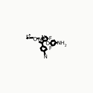 C[Si](C)(C)CCOCn1cc(-c2ccc(C#N)cc2)c2c(Oc3c(F)cc(N)cc3F)ccnc21